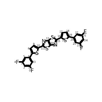 Fc1cc(F)cc(-c2ccc(-c3nc4sc(-c5ccc(-c6cc(F)cc(F)c6)s5)nc4s3)s2)c1